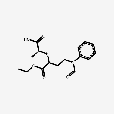 CCOC(=O)C(CCN(C=O)c1ccccc1)N[C@@H](C)C(=O)O